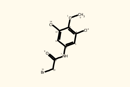 COc1c(Cl)cc(NC(=O)CBr)cc1Cl